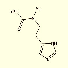 CCCC(=O)N(CCc1cnc[nH]1)C(C)=O